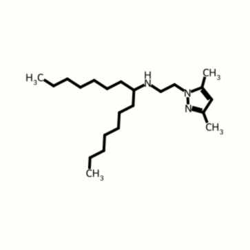 CCCCCCCC(CCCCCCC)NCCn1nc(C)cc1C